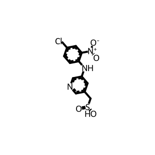 O=[N+]([O-])c1cc(Cl)ccc1Nc1cncc(C[SH](=O)=O)c1